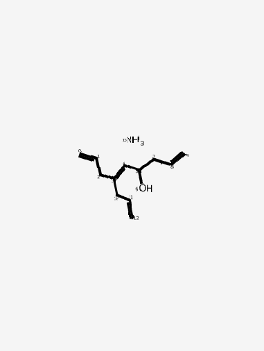 C=CCC(=CC(O)CC=C)CC=C.N